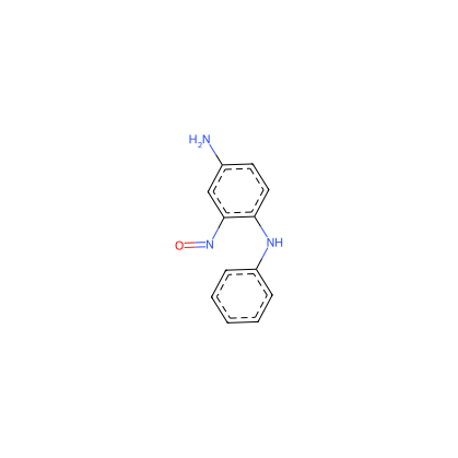 Nc1ccc(Nc2ccccc2)c(N=O)c1